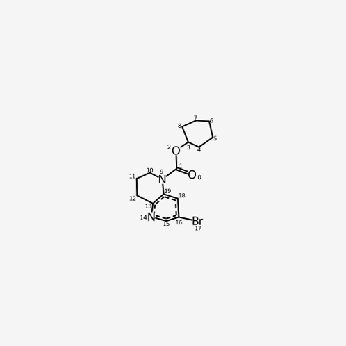 O=C(OC1CCCCC1)N1CCCc2ncc(Br)cc21